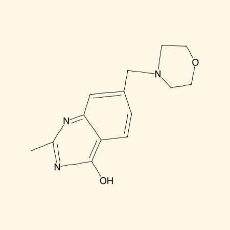 Cc1nc(O)c2ccc(CN3CCOCC3)cc2n1